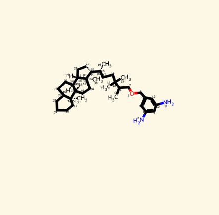 CC(COCc1cc(N)cc(N)c1)C(C)(C)CC[C@@H](C)[C@H]1CC[C@H]2[C@@H]3CCC4CCCC[C@]4(C)[C@H]3CC[C@]12C